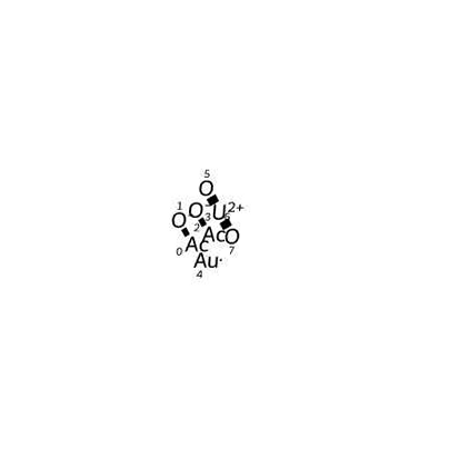 CC(=O)[O-].CC(=O)[O-].[Au].[O]=[U+2]=[O]